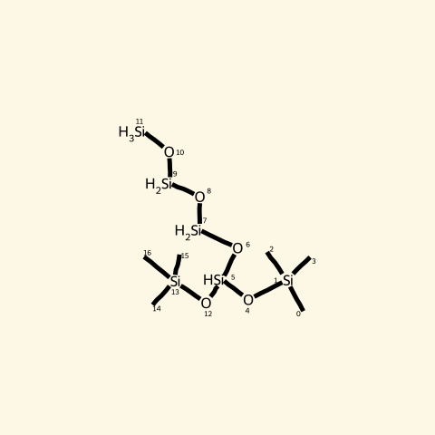 C[Si](C)(C)O[SiH](O[SiH2]O[SiH2]O[SiH3])O[Si](C)(C)C